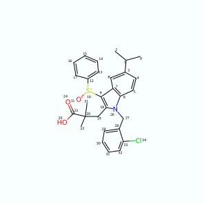 CC(C)c1ccc2c(c1)c([S+]([O-])c1ccccc1)c(CC(C)(C)C(=O)O)n2Cc1ccccc1Cl